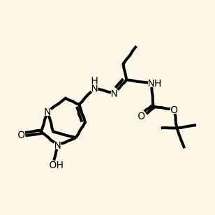 CC/C(=N\NC1=CC2CN(C1)C(=O)N2O)NC(=O)OC(C)(C)C